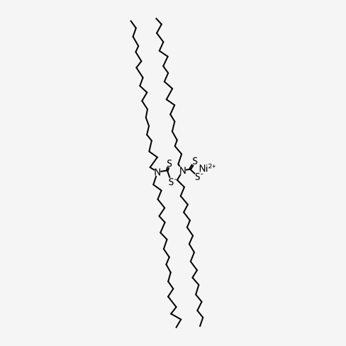 CCCCCCCCCCCCCCCCCCCN(CCCCCCCCCCCCCCCCCCC)C(=S)[S-].CCCCCCCCCCCCCCCCCCCN(CCCCCCCCCCCCCCCCCCC)C(=S)[S-].[Ni+2]